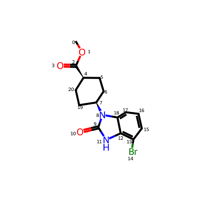 COC(=O)[C@H]1CC[C@@H](n2c(=O)[nH]c3c(Br)cccc32)CC1